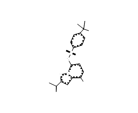 CC(C)c1cc2c(Cl)ccc(NS(=O)(=O)c3ccc(C(C)(C)C)cc3)n2n1